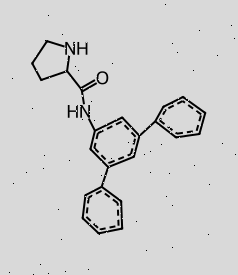 O=C(Nc1cc(-c2ccccc2)cc(-c2ccccc2)c1)C1CCCN1